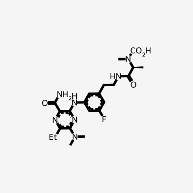 CCc1nc(C(N)=O)c(Nc2cc(F)cc(CCNC(=O)[C@H](C)N(C)C(=O)O)c2)nc1N(C)C